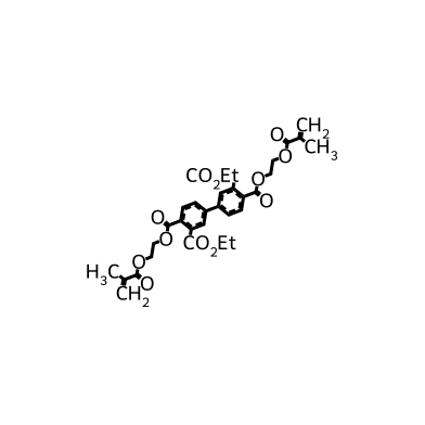 C=C(C)C(=O)OCCOC(=O)c1ccc(-c2ccc(C(=O)OCCOC(=O)C(=C)C)c(C(=O)OCC)c2)cc1C(=O)OCC